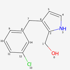 OCc1[nH]ccc1Cc1cccc(Cl)c1